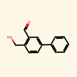 O=Cc1cc(-c2ccccc2)ccc1CO